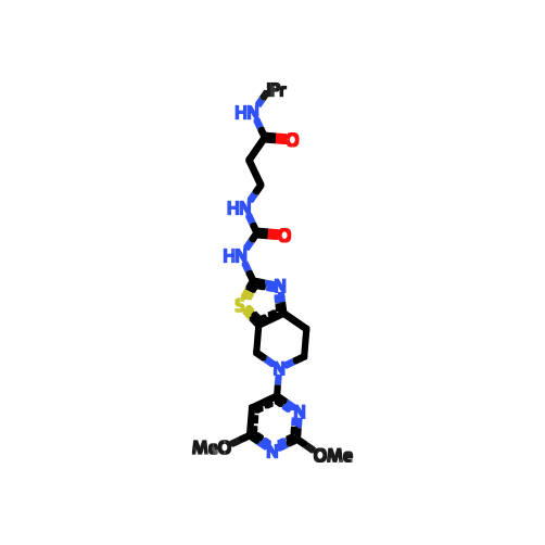 COc1cc(N2CCc3nc(NC(=O)NCCC(=O)NC(C)C)sc3C2)nc(OC)n1